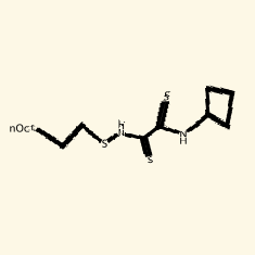 CCCCCCCCCCSNC(=S)C(=S)NC1CCC1